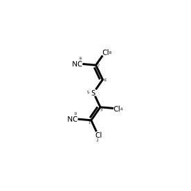 N#C/C(Cl)=C(/Cl)S/C=C(/Cl)C#N